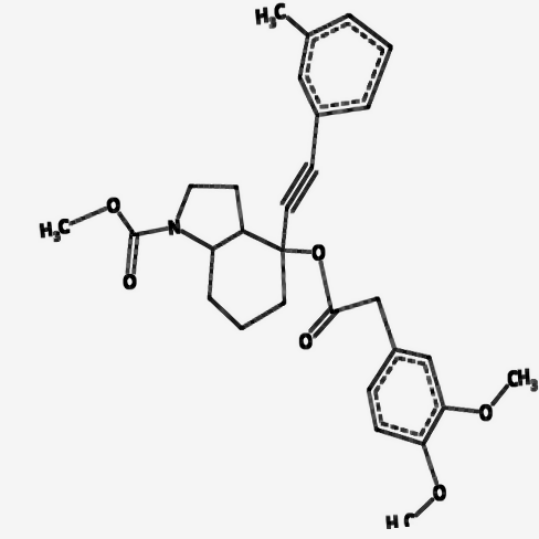 COC(=O)N1CCC2C1CCCC2(C#Cc1cccc(C)c1)OC(=O)Cc1ccc(OC)c(OC)c1